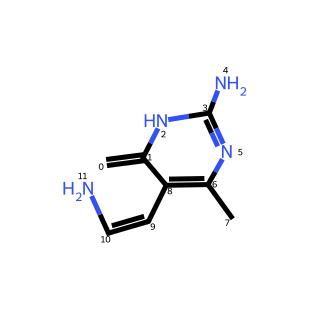 C=C1NC(N)=NC(C)=C1/C=C\N